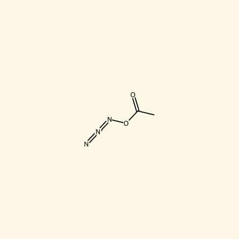 CC(=O)ON=[N+]=[N-]